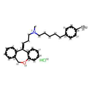 CN(CC/C=C1/c2ccccc2COc2ccccc21)CCCCCc1ccc(C(C)(C)C)cc1.Cl